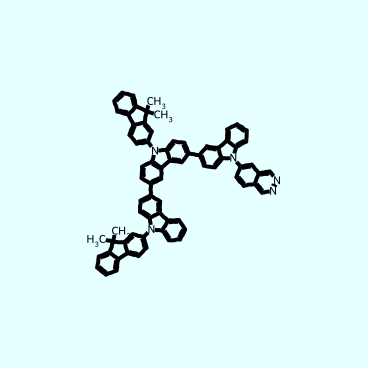 CC1(C)c2ccccc2-c2ccc(-n3c4ccccc4c4cc(-c5ccc6c(c5)c5cc(-c7ccc8c(c7)c7ccccc7n8-c7ccc8cnncc8c7)ccc5n6-c5ccc6c(c5)C(C)(C)c5ccccc5-6)ccc43)cc21